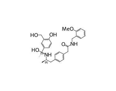 COc1ccccc1CNC(=O)Cc1ccc(C[C@@H](C)N[C@@](C)(O)c2ccc(O)c(CO)c2)cc1